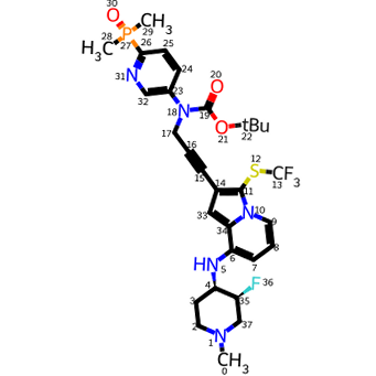 CN1CC[C@@H](Nc2cccn3c(SC(F)(F)F)c(C#CCN(C(=O)OC(C)(C)C)c4ccc(P(C)(C)=O)nc4)cc23)[C@@H](F)C1